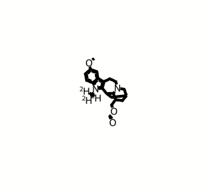 [2H]C([2H])([2H])n1c2c(c3cc(OC)ccc31)CCN1CC3CC(COC=O)C1C2C3